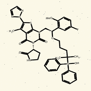 COc1ccc(F)cc1[C@H](Cn1c(=O)n([C@@H]2CCNC2=O)c(=O)c2c(C)c(-n3nccn3)sc21)OCCCC(C)(C)[Si](O)(c1ccccc1)c1ccccc1